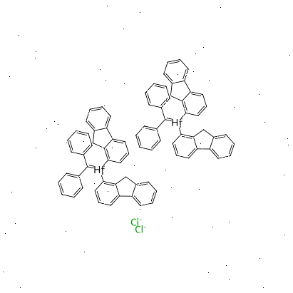 [Cl-].[Cl-].c1ccc([C](c2ccccc2)=[Hf]([c]2cccc3c2Cc2ccccc2-3)[c]2cccc3c2Cc2ccccc2-3)cc1.c1ccc([C](c2ccccc2)=[Hf]([c]2cccc3c2Cc2ccccc2-3)[c]2cccc3c2Cc2ccccc2-3)cc1